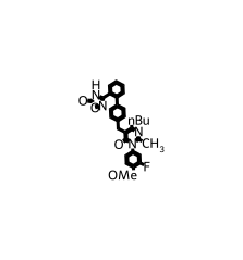 CCCCc1nc(C)n(-c2ccc(OC)c(F)c2)c(=O)c1Cc1ccc(-c2ccccc2-c2noc(=O)[nH]2)cc1